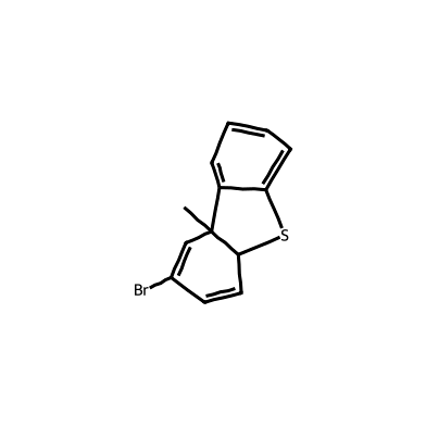 CC12C=C(Br)C=CC1Sc1ccccc12